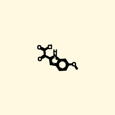 COc1ccc2cc(C(=O)C(=O)Cl)[nH]c2c1